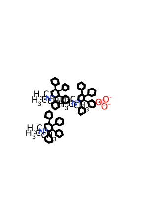 C[N+](C)(C)c1cc(-c2ccccc2)c(-c2ccccc2)c(-c2ccccc2)c1-c1ccccc1.C[N+](C)(C)c1cc(-c2ccccc2)c(-c2ccccc2)c(-c2ccccc2)c1-c1ccccc1.C[N+](C)(C)c1cc(-c2ccccc2)c(-c2ccccc2)c(-c2ccccc2)c1-c1ccccc1.[O-]B([O-])[O-]